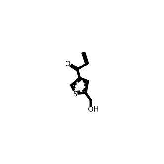 C=CC(=O)c1csc(CO)c1